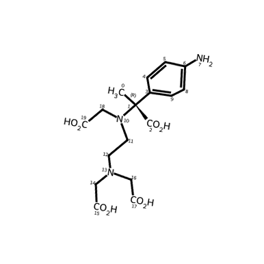 C[C@](C(=O)O)(c1ccc(N)cc1)N(CCN(CC(=O)O)CC(=O)O)CC(=O)O